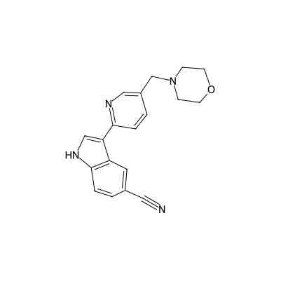 N#Cc1ccc2[nH]cc(-c3ccc(CN4CCOCC4)cn3)c2c1